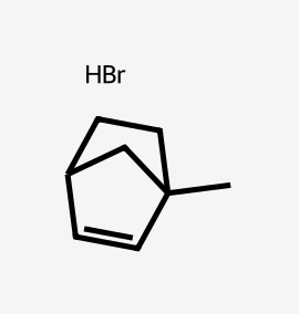 Br.CC12C=CC(CC1)C2